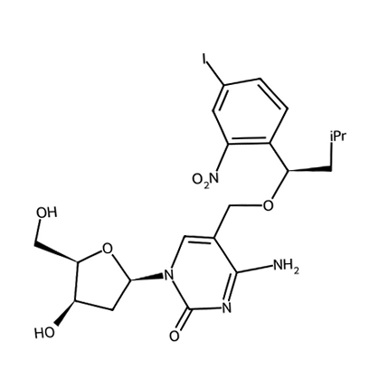 CC(C)C[C@@H](OCc1cn([C@H]2C[C@@H](O)[C@@H](CO)O2)c(=O)nc1N)c1ccc(I)cc1[N+](=O)[O-]